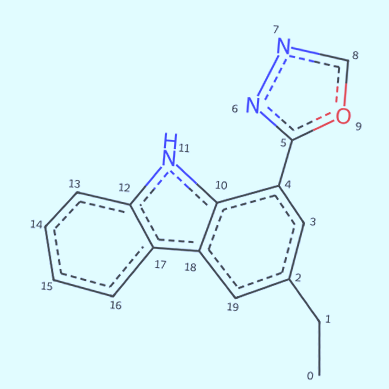 CCc1cc(-c2nnco2)c2[nH]c3ccccc3c2c1